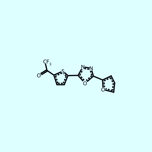 O=C(c1ccc(-c2nnc(-c3ccco3)o2)s1)C(F)(F)F